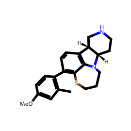 COc1ccc(-c2ccc3c4c2SCCCN4[C@H]2CCNC[C@@H]32)c(C)c1